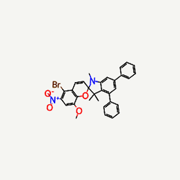 COc1cc([N+](=O)[O-])c(Br)c2c1OC1(C=C2)N(C)c2cc(-c3ccccc3)cc(-c3ccccc3)c2C1(C)C